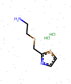 Cl.Cl.NCCSCc1nccs1